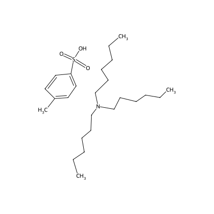 CCCCCCN(CCCCCC)CCCCCC.Cc1ccc(S(=O)(=O)O)cc1